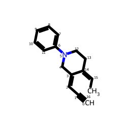 C#C/C=C1/CN(c2ccccc2)CC/C1=C/C